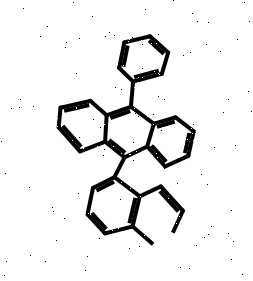 C/C=C\c1c(C)cccc1-c1c2ccccc2c(-c2ccccc2)c2ccccc12